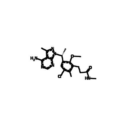 CNC(=O)CCc1c(C)c(Cl)cc([C@@H](C)n2nc(C)c3c(N)ncnc32)c1OC